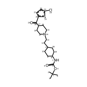 CC(C)(C)OC(=O)NC1CCC(CCN2CCC(C(=O)c3ccc(Cl)s3)CC2)CC1